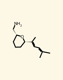 CC(C)=C/C=C(\C)[C@@H]1CCC[C@H](CN)O1